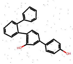 Oc1ccc(-c2ccc(-c3ccccc3-c3ccccc3)c(O)c2)cc1